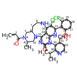 C=CC(=O)N1CC2CCNc3c(Cl)c(-c4c(O)cccc4Cl)nc4c3c(nc(=O)n4-c3c(C)ccnc3C(C)C)N2CC1C